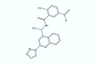 Cc1ccc([N+](=O)[O-])cc1C(=O)NC(C)c1cc(-n2ccnn2)nc2ccccc12